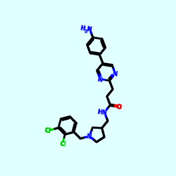 Nc1ccc(-c2cnc(CCC(=O)NCC3CCN(Cc4cccc(Cl)c4Cl)C3)nc2)cc1